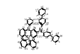 c1ccc(-c2ccc(N(c3ccc(-c4ccccc4)cc3)c3ccc4c(c3)N(c3ccccc3)c3ccccc3[Si]4(c3ccccc3)c3ccccc3)cc2)cc1